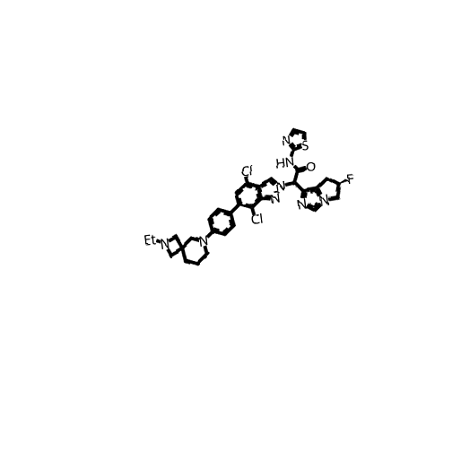 CCN1CC2(CCCN(c3ccc(-c4cc(Cl)c5cn(C(C(=O)Nc6nccs6)c6ncn7c6C[C@@H](F)C7)nc5c4Cl)cc3)C2)C1